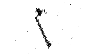 CCCN(OCC)C(=O)C1=Cc2c(cnn2CCCCCN(C)CCOCCOCCOCCOCCOCCOCCOCCOCCOCCOCCC(=O)Oc2c(F)c(F)cc(F)c2F)N=C(N)C1